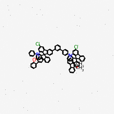 CC1(C)c2ccccc2-c2ccc(N(c3ccc(-c4cccc(-c5ccc6c(c5)-c5cc(Cl)cc(N(c7ccccc7)c7cccc8c7oc7ccccc78)c5C65c6ccccc6-c6ccccc65)c4)cc3)c3cc(Cl)cc4c3C3(c5ccccc5-c5ccccc53)c3ccccc3-4)cc21